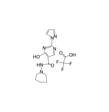 O=C(NN1CCCCC1)c1cnc(-n2cccn2)nc1O.O=C(O)C(F)(F)F